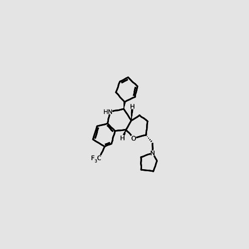 FC(F)(F)c1ccc2c(c1)[C@H]1O[C@@H](CN3CCCC3)CC[C@H]1[C@H](C1C=CC=CC1)N2